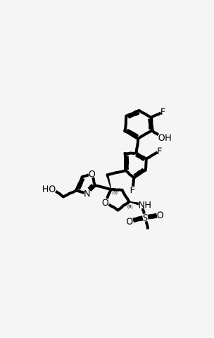 CS(=O)(=O)N[C@H]1CO[C@](Cc2cc(-c3cccc(F)c3O)c(F)cc2F)(c2nc(CO)co2)C1